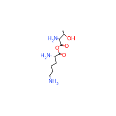 C[C@@H](O)[C@H](N)C(=O)OC(=O)[C@@H](N)CCCCN